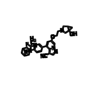 CC(F)(F)CN1C2CC1CN(c1ccc(-c3cc(OCCN4CC5CC5(O)C4)cn4ncc(C#N)c34)cn1)C2